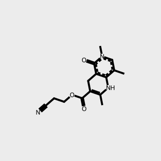 CC1=C(C(=O)OCCC#N)Cc2c(c(C)cn(C)c2=O)N1